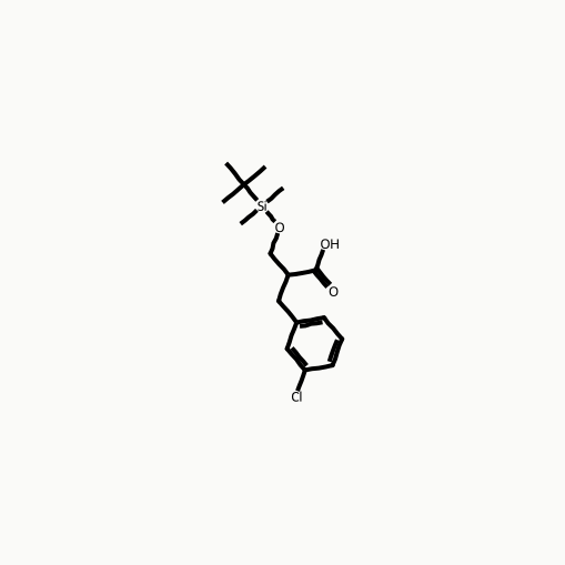 CC(C)(C)[Si](C)(C)OCC(Cc1cccc(Cl)c1)C(=O)O